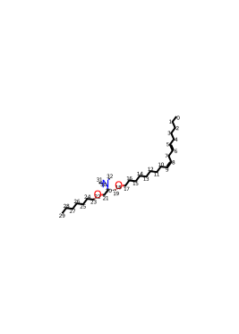 CCCCCC=CC/C=C\CCCCCCCCOC[C@H](COCCCCCCC)N(C)C